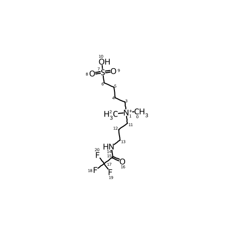 C[N+](C)(CCCCS(=O)(=O)O)CCCNC(=O)C(F)(F)F